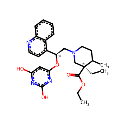 CCOC(=O)[C@@]1(CC)CN(C[C@@H](Oc2cc(O)nc(O)n2)c2ccnc3ccccc23)CCC1C